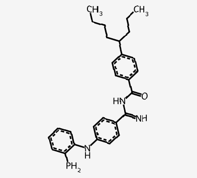 CCCCC(CCC)c1ccc(C(=O)NC(=N)c2ccc(Nc3ccccc3P)cc2)cc1